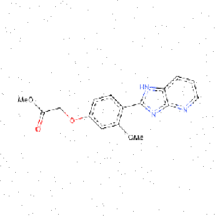 COC(=O)COc1ccc(-c2nc3ncccc3[nH]2)c(OC)c1